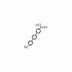 CCCC(O)c1ccc(-c2ccc(-c3ccc(C#N)cc3)cc2)cc1